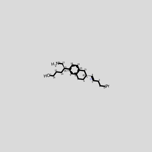 CC(C)CC/C=C/[C@@H]1CCc2cc([C@H](CN)CCCO)ccc2C1